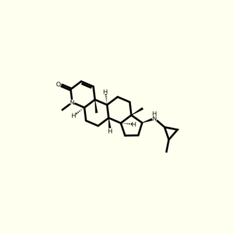 CC1CC1N[C@H]1CC[C@H]2[C@@H]3CC[C@H]4N(C)C(=O)C=C[C@]4(C)[C@H]3CC[C@]12C